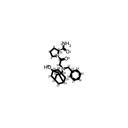 NC(=O)[C@@H]1CCCN1C(=O)CN(Cc1ccccc1)C12CC3CC(CC(O)(C3)C1)C2